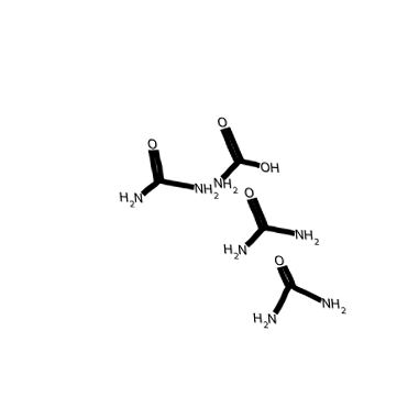 NC(=O)O.NC(N)=O.NC(N)=O.NC(N)=O